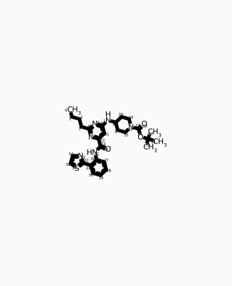 CCCCc1nc(NC2CCN(C(=O)OC(C)(C)C)CC2)cc(C(=O)Nc2ccccc2-c2nccs2)n1